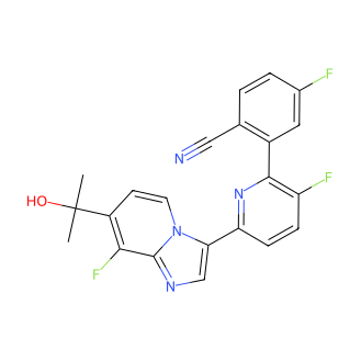 CC(C)(O)c1ccn2c(-c3ccc(F)c(-c4cc(F)ccc4C#N)n3)cnc2c1F